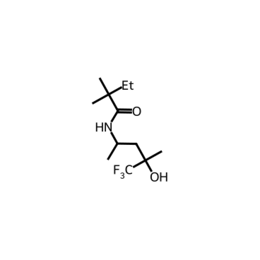 CCC(C)(C)C(=O)NC(C)CC(C)(O)C(F)(F)F